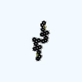 c1ccc2c(c1)ccc1c3ccc(-c4c5ccccc5c(-c5ccc6ccc7ccc(-c8ccc9c%10ccccc%10c%10ccc(-c%11c%12ccccc%12c(-c%12ccc%13c(c%12)sc%12c%14ccccc%14ccc%13%12)c%12ccccc%11%12)cc%10c9c8)cc7c6c5)c5ccccc45)cc3sc21